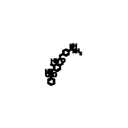 Cc1ccc(NS(=O)(=O)c2ccccc2)c(C)c1NC(=O)Cc1ccc(C(=N)N)cc1